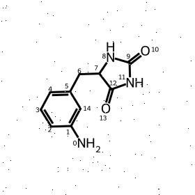 Nc1cccc(CC2NC(=O)NC2=O)c1